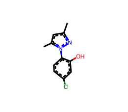 Cc1cc(C)n(-c2ccc(Cl)cc2O)n1